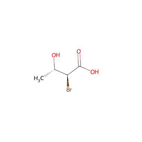 C[C@H](O)[C@H](Br)C(=O)O